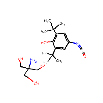 CC(C)(C)c1cc(N=C=O)cc(C(C)(C)C)c1O.NC(CO)(CO)CO